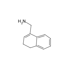 NCC1=CCCc2ccccc21